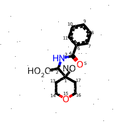 O=NC1(C(NC(=O)c2ccccc2)C(=O)O)CCOCC1